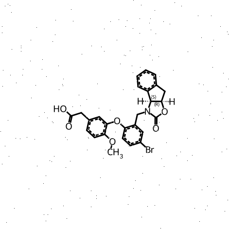 COc1ccc(CC(=O)O)cc1Oc1ccc(Br)cc1CN1C(=O)O[C@@H]2Cc3ccccc3[C@@H]21